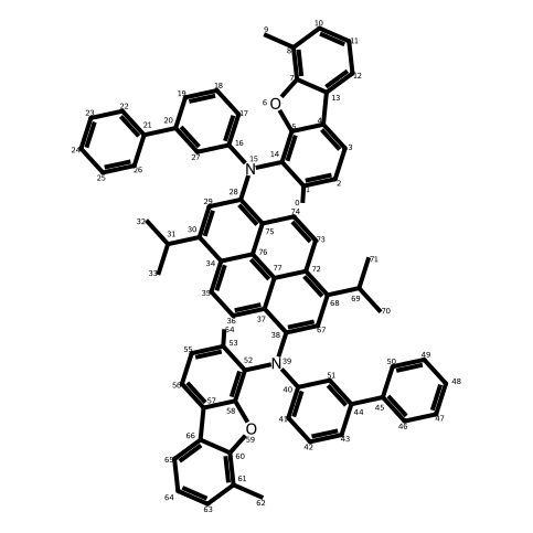 Cc1ccc2c(oc3c(C)cccc32)c1N(c1cccc(-c2ccccc2)c1)c1cc(C(C)C)c2ccc3c(N(c4cccc(-c5ccccc5)c4)c4c(C)ccc5c4oc4c(C)cccc45)cc(C(C)C)c4ccc1c2c43